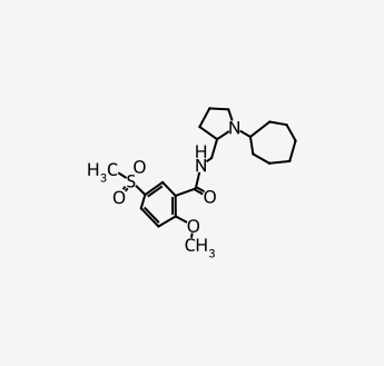 COc1ccc(S(C)(=O)=O)cc1C(=O)NCC1CCCN1C1CCCCCC1